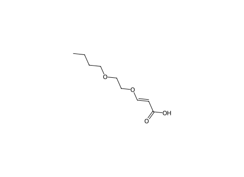 CCCCOCCOC=CC(=O)O